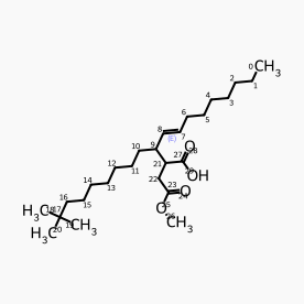 CCCCCCC/C=C/C(CCCCCCCC(C)(C)C)C(CC(=O)OC)C(=O)O